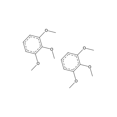 COc1cccc(OC)c1OC.COc1cccc(OC)c1OC